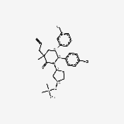 C=CCC1(C)C[C@H](c2cccc(Cl)c2)[C@@H](c2ccc(Cl)cc2)N([C@H]2CC[C@@H](O[Si](C)(C)C(C)(C)C)C2)C1=O